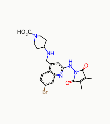 CC1=C(C)C(=O)N(Nc2cc(CNC3CCN(C(=O)O)CC3)c3ccc(Br)cc3n2)C1=O